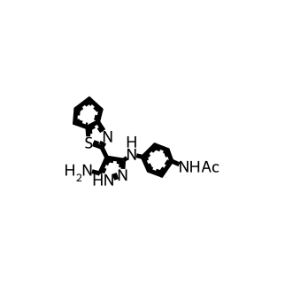 CC(=O)Nc1ccc(Nc2n[nH]c(N)c2-c2nc3ccccc3s2)cc1